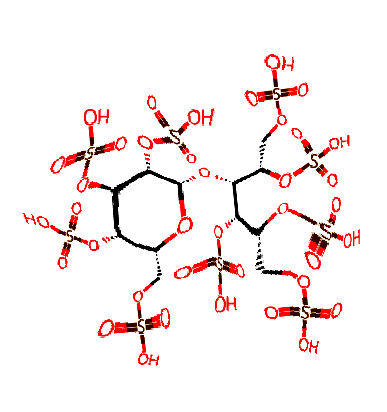 O=S(=O)(O)OC[C@H](OS(=O)(=O)O)[C@@H](O[C@@H]1O[C@H](COS(=O)(=O)O)[C@H](OS(=O)(=O)O)[C@@H](OS(=O)(=O)O)[C@@H]1OS(=O)(=O)O)[C@@H](OS(=O)(=O)O)[C@@H](COS(=O)(=O)O)OS(=O)(=O)O